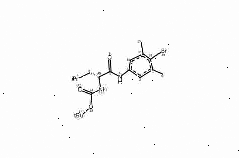 Cc1cc(NC(=O)[C@@H](CC(C)C)NC(=O)OC(C)(C)C)cc(C)c1Br